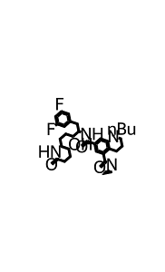 CCCCN1CCCc2c(-c3ncco3)cc(C(=O)NC(Cc3cc(F)cc(F)c3)C(O)CCC3CCCC(=O)N3)cc21